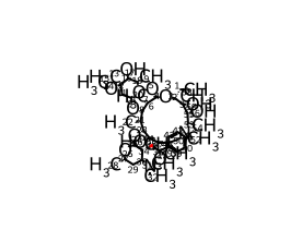 CC[C@H]1OC(=O)[C@H](C)[C@@H](O[C@H]2C[C@@](C)(OC)[C@@H](O)[C@H](C)O2)[C@H](C)[C@@H](O[C@@H]2O[C@H](C)CC(N(C)C)[C@H]2CC(=O)c2ccccc2)[C@](C)(O)C[C@@H](C)CN(C)[C@H](C)[C@@H](O)[C@]1(C)O